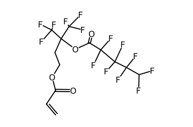 C=CC(=O)OCCC(OC(=O)C(F)(F)C(F)(F)C(F)(F)C(F)F)(C(F)(F)F)C(F)(F)F